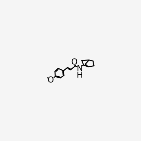 COc1ccc(C=CC(=O)NC2CC3CCC2C3)cc1